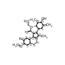 CCOC(=O)c1c(-c2cc(C)c(O)c(C)c2)c(C)n2c1-c1cc(F)c(OC)cc1CC2